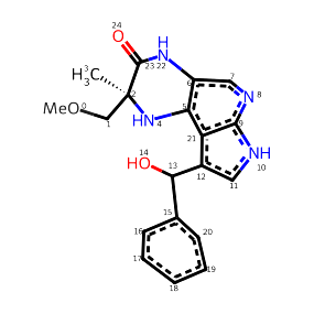 COC[C@]1(C)Nc2c(cnc3[nH]cc(C(O)c4ccccc4)c23)NC1=O